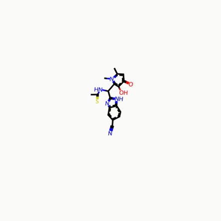 CC(=S)NC(c1nc2cc(C#N)ccc2[nH]1)c1c(O)c(=O)cc(C)n1C